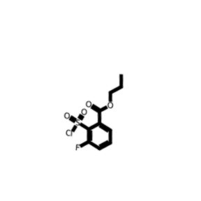 CCCOC(=O)c1cccc(F)c1S(=O)(=O)Cl